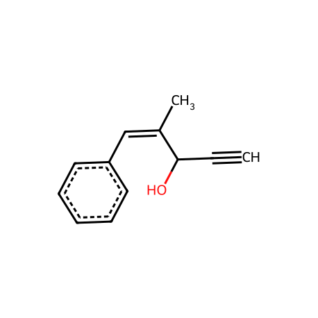 C#CC(O)C(C)=Cc1ccccc1